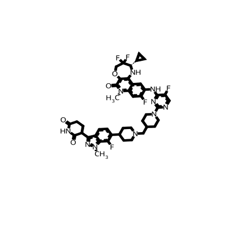 Cn1nc(C2CCC(=O)NC2=O)c2ccc(C3CCN(CC4CCN(c5ncc(F)c(Nc6cc7c8c(c(=O)n(C)c7cc6F)OCC(F)(F)[C@H](C6CC6)N8)n5)CC4)CC3)c(F)c21